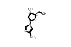 Nc1cn([C@H]2C[C@H](O)[C@@H](CO)O2)cn1